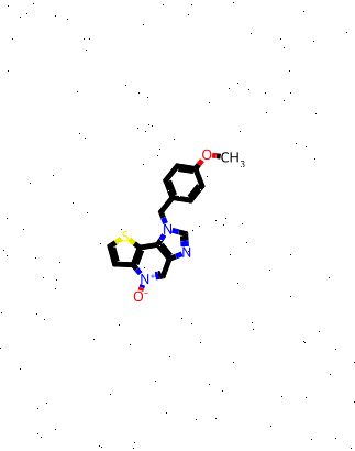 COc1ccc(Cn2cnc3c[n+]([O-])c4ccsc4c32)cc1